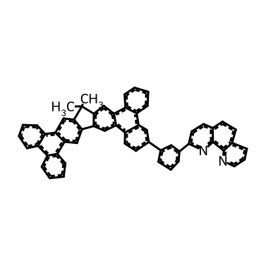 CC1(C)c2cc3c4ccccc4c4ccccc4c3cc2-c2cc3c4ccc(-c5cccc(-c6ccc7ccc8cccnc8c7n6)c5)cc4c4ccccc4c3cc21